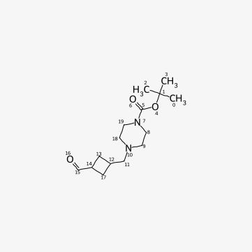 CC(C)(C)OC(=O)N1CCN(CC2CC(C=O)C2)CC1